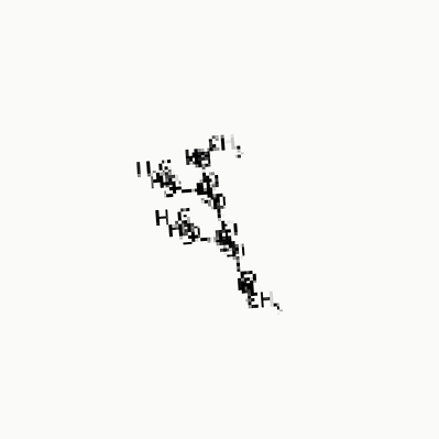 CCCCNOC(=O)CCCCCCCC(=O)OCC(COC(=O)CCCCCCCC(=O)OCC(COC(=O)CCCCCC(=O)ONCCCC)OC(=O)CCCCCCCC(=O)ONCCCC)OC(=O)CCCCCCCC(=O)ONCCCC